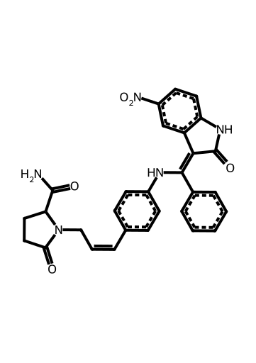 NC(=O)C1CCC(=O)N1C/C=C\c1ccc(NC(=C2C(=O)Nc3ccc([N+](=O)[O-])cc32)c2ccccc2)cc1